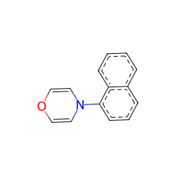 C1=CN(c2cccc3ccccc23)C=CO1